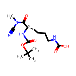 CN(C#N)C(=O)[C@H](CCCCNC(=O)O)NC(=O)OC(C)(C)C